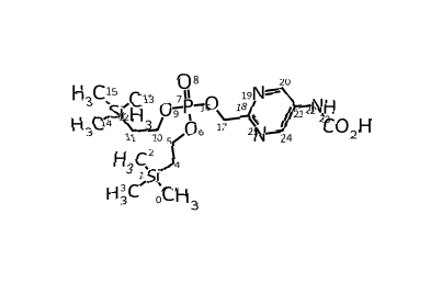 C[Si](C)(C)CCOP(=O)(OCC[Si](C)(C)C)OCc1ncc(NC(=O)O)cn1